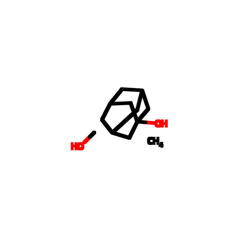 C.CO.OC12CC3CC(CC(C3)C1)C2